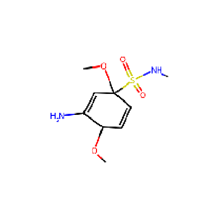 CNS(=O)(=O)C1(OC)C=CC(OC)C(N)=C1